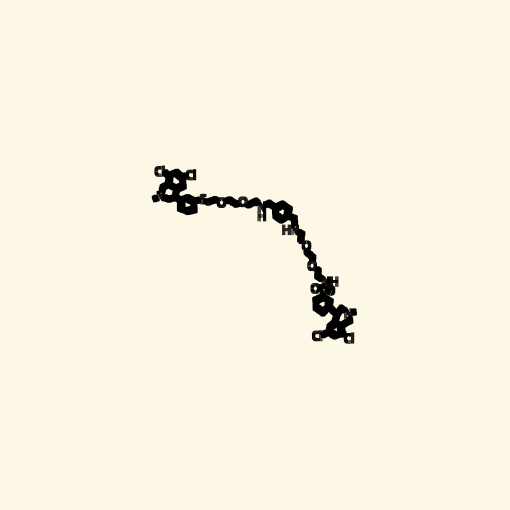 CN1Cc2c(Cl)cc(Cl)cc2C(c2cccc(SCCOCCOCCNCc3ccc(CNCCOCCOCCNS(=O)(=O)c4cccc(C5CN(C)Cc6c(Cl)cc(Cl)cc65)c4)cc3)c2)C1